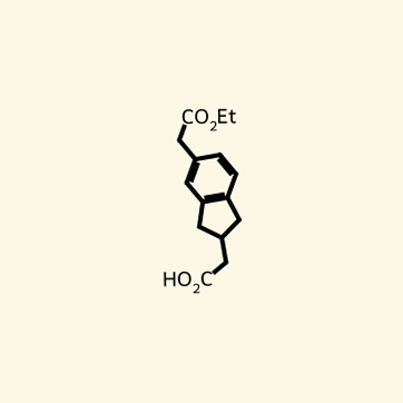 CCOC(=O)Cc1ccc2c(c1)CC(CC(=O)O)C2